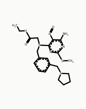 CCOC(=O)CN(Cc1cccc(CN2CCCC2)c1)c1nc(SC)nc(N)c1N=O